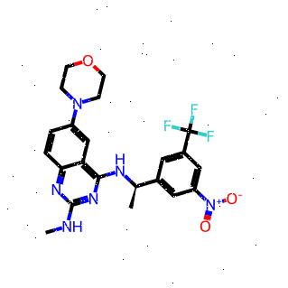 CNc1nc(N[C@H](C)c2cc([N+](=O)[O-])cc(C(F)(F)F)c2)c2cc(N3CCOCC3)ccc2n1